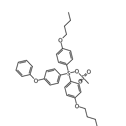 CCCCOc1ccc(S(OS(C)(=O)=O)(c2ccc(OCCCC)cc2)c2ccc(Oc3ccccc3)cc2)cc1